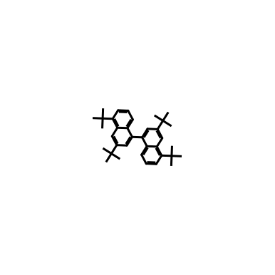 CC(C)(C)c1cc(-c2cc(C(C)(C)C)cc3c(C(C)(C)C)cccc23)c2cccc(C(C)(C)C)c2c1